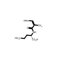 CCCCCCCCCC=C(C)C(=O)N[C@@H](CCC(=O)O)C(=O)O